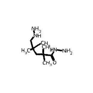 CC(C)(CNN)CC(C)(C)C(=O)NN